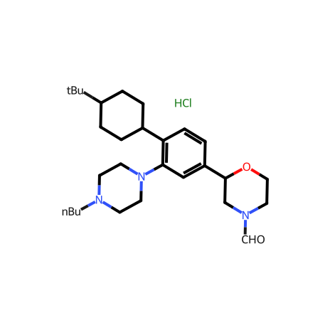 CCCCN1CCN(c2cc(C3CN(C=O)CCO3)ccc2C2CCC(C(C)(C)C)CC2)CC1.Cl